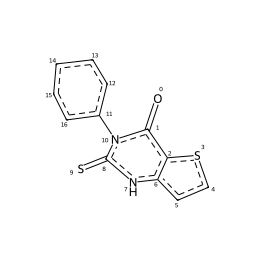 O=c1c2sccc2[nH]c(=S)n1-c1ccccc1